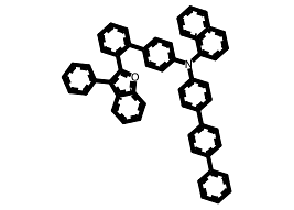 c1ccc(-c2ccc(-c3ccc(N(c4ccc(-c5ccccc5-c5oc6ccccc6c5-c5ccccc5)cc4)c4cccc5ccccc45)cc3)cc2)cc1